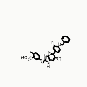 Cc1ccc(Oc2nc3nc(-c4ccc(OCc5ccccc5)c(F)c4)c(Cl)cc3[nH]2)cc1C(=O)O